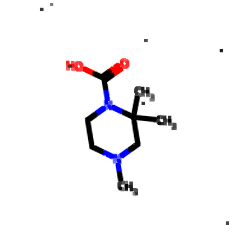 CN1CCN(C(=O)O)C(C)(C)C1